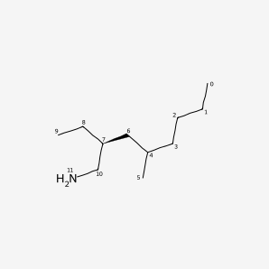 CCCCC(C)C[C@H](CC)CN